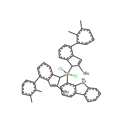 Cc1cccc(-c2cccc3c2C=C(C(C)(C)C)[CH]3[Zr]([Cl])([Cl])([c]2cccc3c2[SiH2]c2ccccc2-3)[CH]2C(C(C)(C)C)=Cc3c(-c4cccc(C)c4C)cccc32)c1C